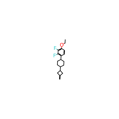 C=C1CC(C2CCC(c3ccc(OCC)c(F)c3F)CC2)C1